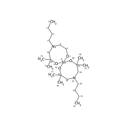 CCCCN1CC[O][Sn]2([O]C(C)(C)C1)[O]C(C)(C)CN(CCCC)CC(C)(C)[O]2